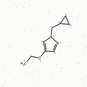 CCOc1cnn(CC2CC2)c1